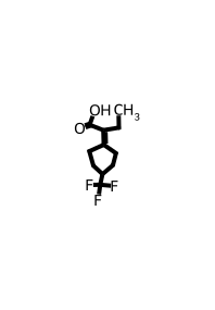 CCC(C(=O)O)=C1CCC(C(F)(F)F)CC1